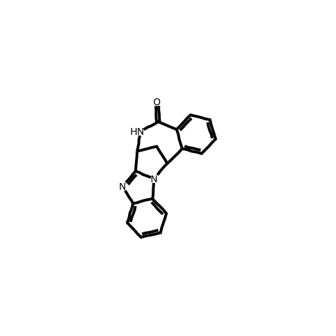 O=C1NC2CC(c3ccccc31)n1c2nc2ccccc21